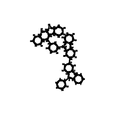 c1ccc(-n2c3ccccc3c3cc(-c4ccc5c6ccccc6n(-c6cccc(-c7c8ccccc8nc8oc9ccccc9c78)c6)c5c4)ccc32)cc1